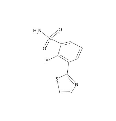 NS(=O)(=O)c1cccc(-c2nccs2)c1F